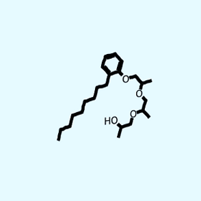 CCCCCCCCCc1ccccc1OCC(C)OCC(C)OCC(C)O